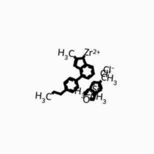 CC1=C2c3cocc3C1[Si]2(C)C.CCCc1ccc(-c2cccc3c2C=C(C)[CH]3[Zr+2])cc1.[Cl-].[Cl-]